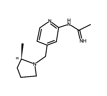 CC(=N)Nc1cc(CN2CCC[C@H]2C)ccn1